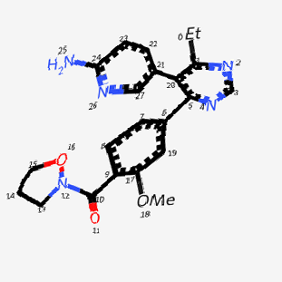 CCc1ncnc(-c2ccc(C(=O)N3CCCO3)c(OC)c2)c1-c1ccc(N)nc1